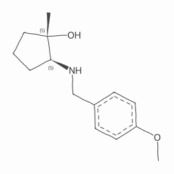 COc1ccc(CN[C@H]2CCC[C@]2(C)O)cc1